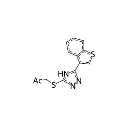 CC(=O)CSc1nnc(-c2csc3ccccc23)[nH]1